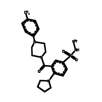 CCCNS(=O)(=O)c1ccc(N2CCCC2)c(C(=O)N2CCN(c3ccc(C(F)(F)F)cc3)CC2)c1